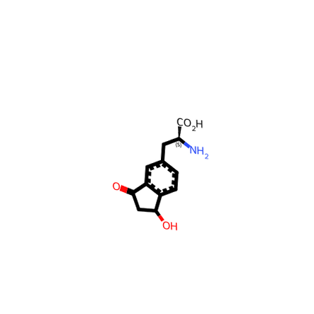 N[C@@H](Cc1ccc2c(c1)C(=O)CC2O)C(=O)O